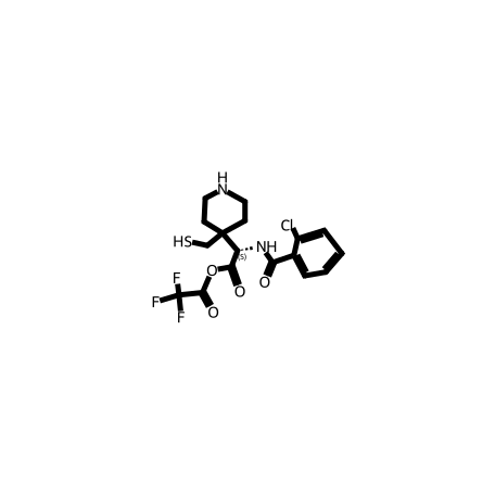 O=C(N[C@H](C(=O)OC(=O)C(F)(F)F)C1(CS)CCNCC1)c1ccccc1Cl